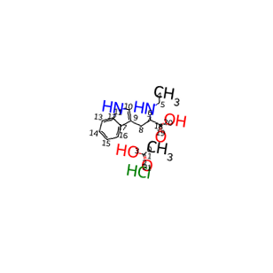 CC(=O)O.CCNC(Cc1c[nH]c2ccccc12)C(=O)O.Cl